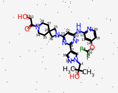 CC(C)(O)Cn1cc(-c2nc(Nc3cc(OC(F)F)ccn3)cc(N3CC4(CCN(C(=O)CO)CC4)C3)n2)cn1